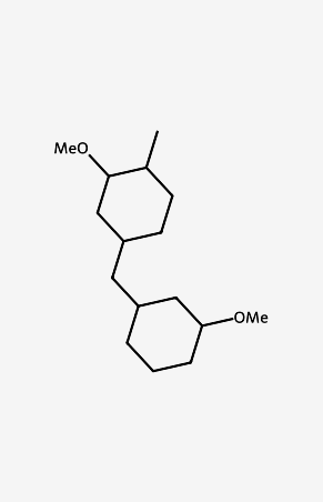 COC1CCCC(CC2CCC(C)C(OC)C2)C1